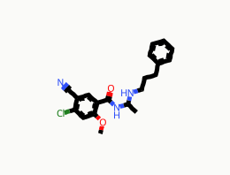 COc1cc(Cl)c(C#N)cc1C(=O)NC(C)NCCCc1ccccc1